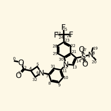 COC(=O)C1CN(c2cccc(-n3cc(S(=O)(=O)N(C)C)c4cc(C(F)(F)F)ccc43)c2)C1